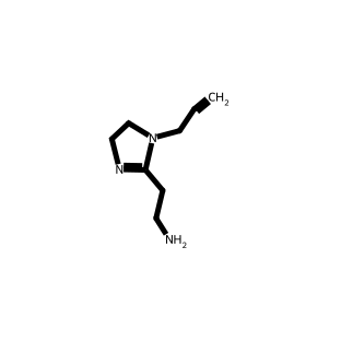 C=CCN1CCN=C1CCN